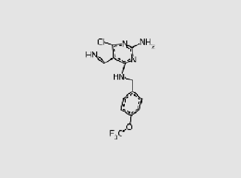 N=Cc1c(Cl)nc(N)nc1NCc1ccc(OC(F)(F)F)cc1